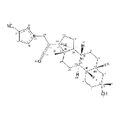 C[C@@]1(O)CC[C@@]2(F)[C@H](CC[C@H]3[C@@H]4CC[C@@H](C(=C=O)Cn5ccc(C#N)n5)[C@@]4(C)CC[C@@H]32)C1